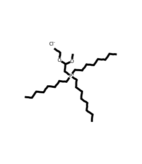 CCCCCCCC[P+](CCCCCCCC)(CCCCCCCC)CC(OC)OCC.[Cl-]